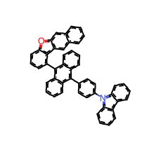 c1ccc2cc3c(cc2c1)oc1cccc(-c2c4ccccc4c(-c4ccc(-n5c6ccccc6c6ccccc65)cc4)c4ccccc24)c13